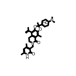 C=C(C)c1c2c(c(C)c3c1OC(C)(C14CCC(N(C)C)(CC1)CC4)O3)C(=O)N(Cc1c(C)cc(C)[nH]c1=O)CC2